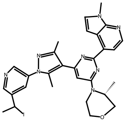 Cc1nn(-c2cncc(C(C)I)c2)c(C)c1-c1cc(N2CCOC[C@H]2C)nc(-c2ccnc3c2ccn3C)n1